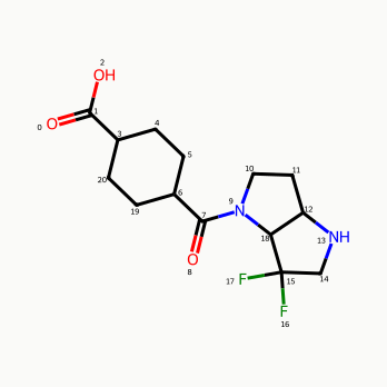 O=C(O)C1CCC(C(=O)N2CCC3NCC(F)(F)C32)CC1